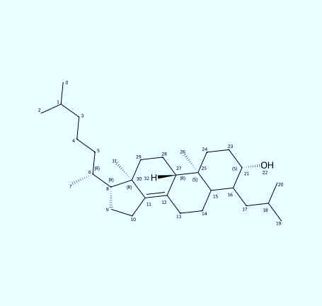 CC(C)CCC[C@@H](C)[C@H]1CCC2=C3CCC4C(CC(C)C)[C@@H](O)CC[C@]4(C)[C@H]3CC[C@@]21C